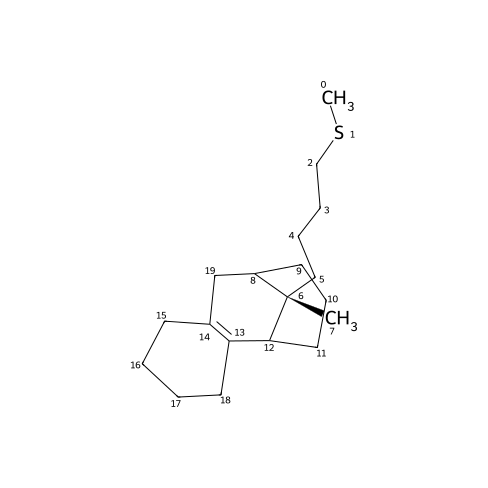 CSCCCC[C@@]1(C)C2CCCC1C1=C(CCCC1)C2